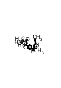 CC#Cc1cn(C(C)(F)c2ccc(C3(C)CC(=O)N(C)C(=N)N3)cc2)cn1